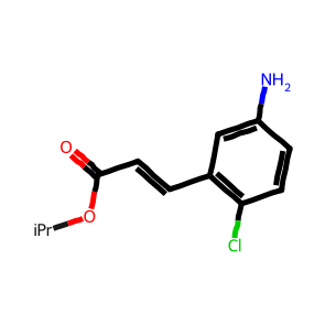 CC(C)OC(=O)C=Cc1cc(N)ccc1Cl